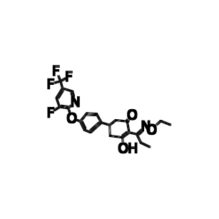 CCON=C(CC)C1=C(O)CC(c2ccc(Oc3ncc(C(F)(F)F)cc3F)cc2)CC1=O